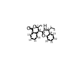 CC[C@H](NC(=O)c1c(C)oc(=O)c2ccccc12)c1ccccc1